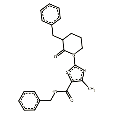 Cc1nc(N2CCCC(Cc3ccccc3)C2=O)sc1C(=O)NCc1ccccc1